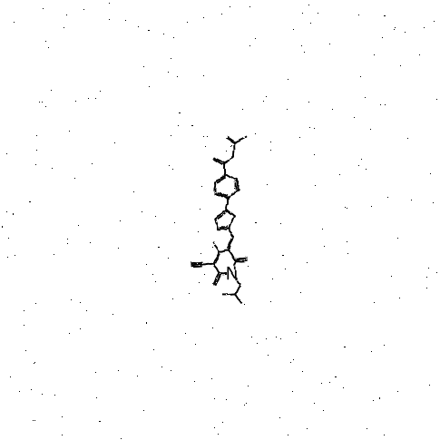 C#CC1=C(C)/C(=C\C2=CC=C(c3ccc(C(=C)CC(C)C)cc3)C2)C(=C)N(CC(C)C)C1=C